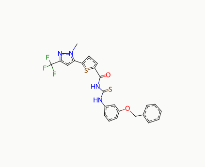 Cn1nc(C(F)(F)F)cc1-c1ccc(C(=O)NC(=S)Nc2cccc(OCc3ccccc3)c2)s1